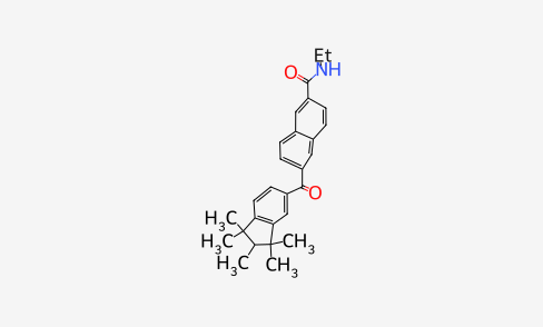 CCNC(=O)c1ccc2cc(C(=O)c3ccc4c(c3)C(C)(C)C(C)C4(C)C)ccc2c1